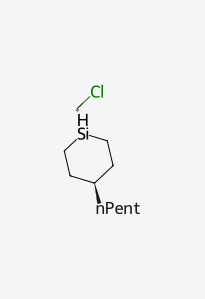 CCCCC[C@H]1CC[Si@H](CCl)CC1